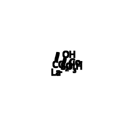 CC(=O)O.O=S(=O)(O)O.[Co].[La]